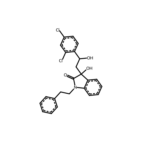 O=C1N(CCc2ccccc2)c2ccccc2C1(O)CC(O)c1ccc(Cl)cc1Cl